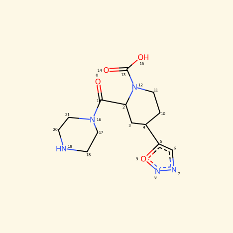 O=C(C1CC(c2cnno2)CCN1C(=O)O)N1CCNCC1